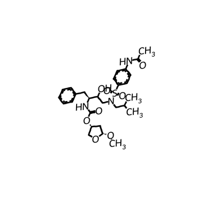 CO[C@H]1C[C@@H](OC(=O)N[C@@H](Cc2ccccc2)C(O)CN(CC(C)C)S(=O)(=O)c2ccc(NC(C)=O)cc2)CO1